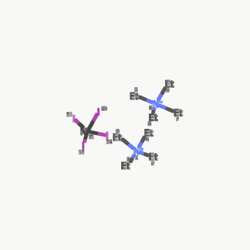 CC[N+](CC)(CC)CC.CC[N+](CC)(CC)CC.[I][Ni]([I])([I])[I]